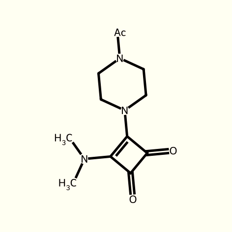 CC(=O)N1CCN(c2c(N(C)C)c(=O)c2=O)CC1